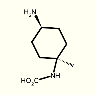 C[C@]1(NC(=O)O)CC[C@@H](N)CC1